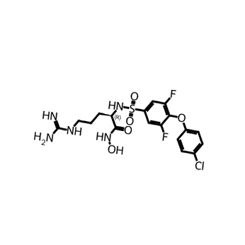 N=C(N)NCCC[C@@H](NS(=O)(=O)c1cc(F)c(Oc2ccc(Cl)cc2)c(F)c1)C(=O)NO